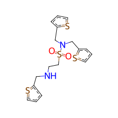 O=S(=O)(CCNCc1cccs1)N(Cc1cccs1)Cc1cccs1